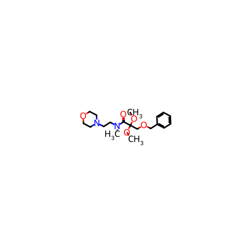 COC(COCc1ccccc1)(OC)C(=O)N(C)CCN1CCOCC1